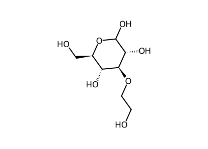 OCCO[C@H]1[C@H](O)[C@@H](CO)OC(O)[C@@H]1O